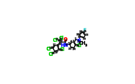 CN(Cc1cc(NC(=O)C2C(c3cc(Cl)c(Cl)cc3Cl)C2(Cl)Cl)ccc1Cl)c1ccc(F)cc1